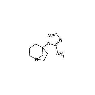 Nc1ncnn1C12CCCN(CC1)C2